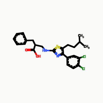 CC(C)CCc1sc(NCC(Cc2ccccc2)C(=O)O)nc1-c1ccc(Cl)c(Cl)c1